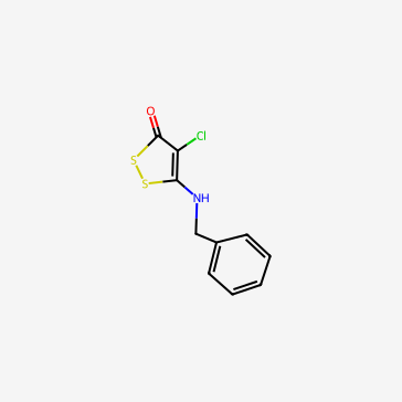 O=c1ssc(NCc2ccccc2)c1Cl